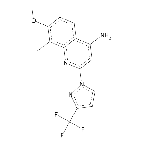 COc1ccc2c(N)cc(-n3ccc(C(F)(F)F)n3)nc2c1C